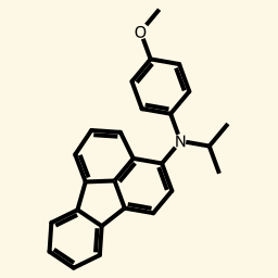 COc1ccc(N(c2ccc3c4c(cccc24)-c2ccccc2-3)C(C)C)cc1